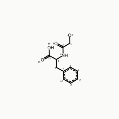 [O]CC(=O)NC(Cc1ccccc1)C(=O)O